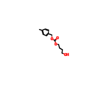 Cc1ccc(COC(=O)OCCCCO)cc1